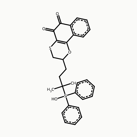 CC(C)(CCC1CSC2=C(O1)c1ccccc1C(=O)C2=O)[Si](O)(c1ccccc1)c1ccccc1